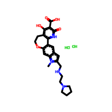 Cl.Cl.Cn1c(CNCCN2CCCC2)cc2cc3c(cc21)OCCc1c-3[nH]c(=O)c(C(=O)O)c1O